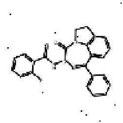 O=C(N[C@@H]1N=C(c2ccccc2)c2cccc3c2N(CC3)C1=O)c1ccccc1F